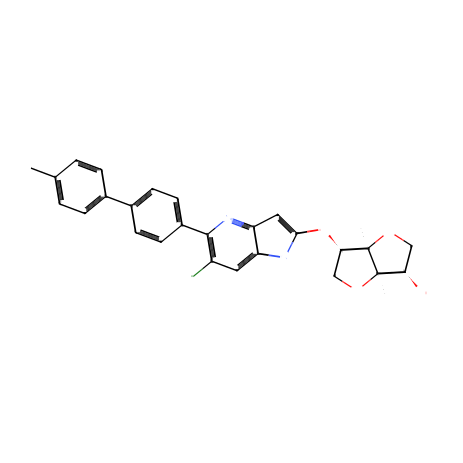 Cc1ccc(-c2ccc(-c3nc4cc(O[C@@H]5CO[C@H]6[C@@H]5OC[C@H]6O)[nH]c4cc3Cl)cc2)cc1